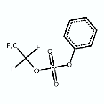 O=S(=O)(Oc1ccccc1)OC(F)(F)C(F)(F)F